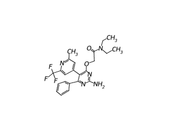 CCN(CC)C(=O)COc1nc(N)nc(-c2ccccc2)c1-c1cc(C)nc(C(F)(F)F)c1